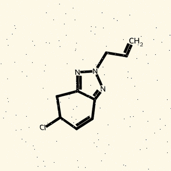 C=CCn1nc2c(n1)CC(Cl)C=C2